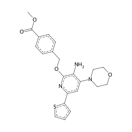 COC(=O)c1ccc(COc2nc(-c3cccs3)cc(N3CCOCC3)c2N)cc1